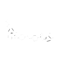 CCCCc1ccc(C(F)(F)OC2CCC(CCC3CCC(C(=O)Oc4ccc(F)c(F)c4)CC3)CC2)c(F)c1